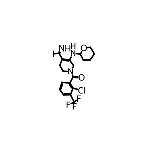 N=C(I)C1=C(NC2CCCCO2)CN(C(=O)c2cccc(C(F)(F)F)c2Cl)CC1